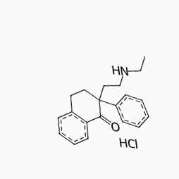 CCNCCC1(c2ccccc2)CCc2ccccc2C1=O.Cl